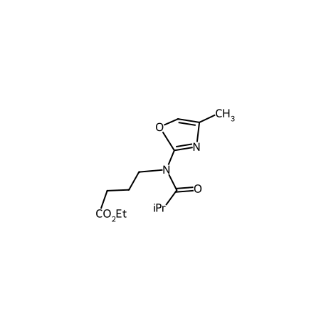 CCOC(=O)CCCN(C(=O)C(C)C)c1nc(C)co1